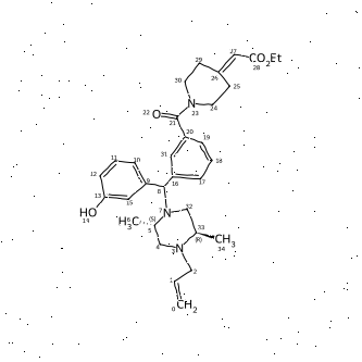 C=CCN1C[C@H](C)N(C(c2cccc(O)c2)c2cccc(C(=O)N3CCC(=CC(=O)OCC)CC3)c2)C[C@H]1C